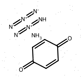 N.O=C1C=CC(=O)C=C1.[N-]=[N+]=N.[N-]=[N+]=[N-]